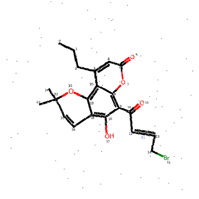 CCCc1cc(=O)oc2c(C(=O)/C=C/CBr)c(O)c3c(c12)OC(C)(C)C=C3